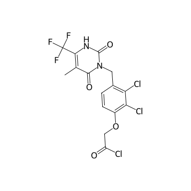 Cc1c(C(F)(F)F)[nH]c(=O)n(Cc2ccc(OCC(=O)Cl)c(Cl)c2Cl)c1=O